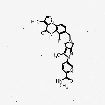 CNC(=O)c1ccc(-n2nc3c(c2C)CN(Cc2ccc4c([nH]c(=O)c5c(C)cnn54)c2F)C3)cn1